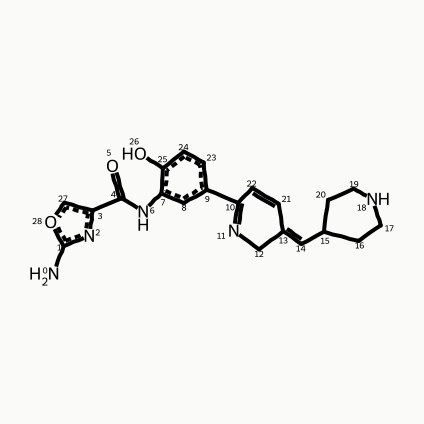 Nc1nc(C(=O)Nc2cc(C3=NC/C(=C/C4CCNCC4)C=C3)ccc2O)co1